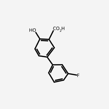 O=C(O)c1cc(-c2cccc(F)c2)ccc1O